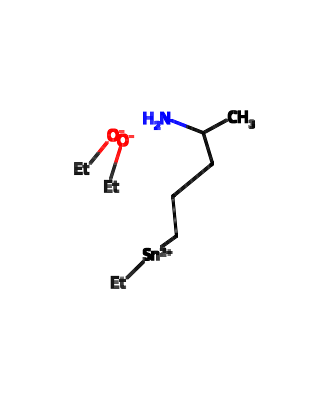 CC[O-].CC[O-].C[CH2][Sn+2][CH2]CCC(C)N